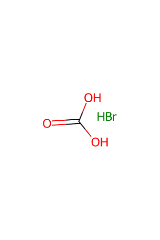 Br.O=C(O)O